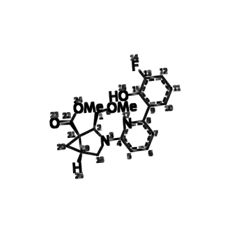 COC[C@H]1N(c2cccc(-c3cccc(F)c3O)n2)C[C@@H]2C[C@@]21C(=O)OC